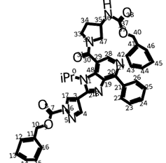 CC(C)n1c(-c2cnn(C(=O)OCc3ccccc3)c2)nc2c(-c3ccccc3)ncc(C(=O)N3CCC(NC(=O)OCc4ccccc4)C3)c21